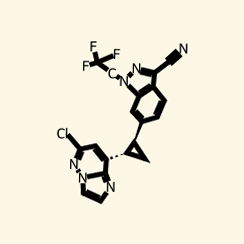 N#Cc1nn(CC(F)(F)F)c2cc([C@H]3C[C@@H]3c3cc(Cl)nn4ccnc34)ccc12